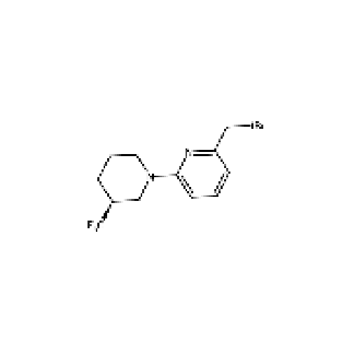 CC(C)(C)Cc1cccc(N2CCC[C@H](C(F)(F)F)C2)n1